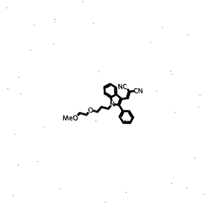 COCCOCCCn1c(-c2ccccc2)c(C=C(C#N)C#N)c2ccccc21